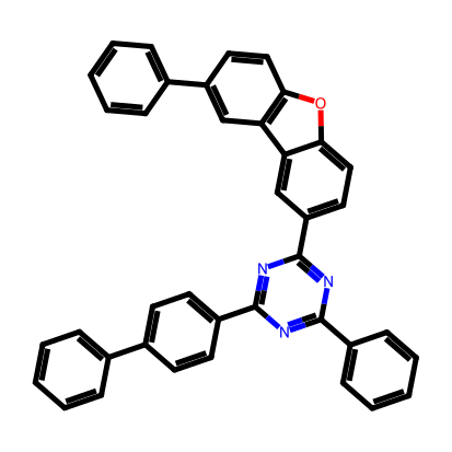 c1ccc(-c2ccc(-c3nc(-c4ccccc4)nc(-c4ccc5oc6ccc(-c7ccccc7)cc6c5c4)n3)cc2)cc1